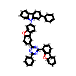 c1ccc(-c2ccc3c4ccccc4n(-c4ccc5c(c4)oc4ccc(-c6nc(-c7ccccc7)nc(-c7cccc8c7oc7ccccc78)n6)cc45)c3c2)cc1